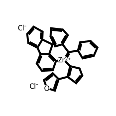 C1=CC(c2ccoc2)=[C]([Zr+2](=[C](c2ccccc2)c2ccccc2)[c]2cccc3c2Cc2ccccc2-3)C1.[Cl-].[Cl-]